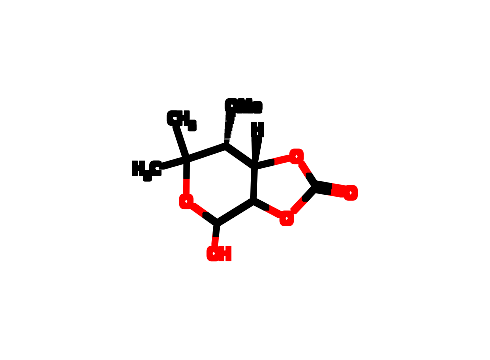 CO[C@@H]1[C@@H]2OC(=O)OC2C(O)OC1(C)C